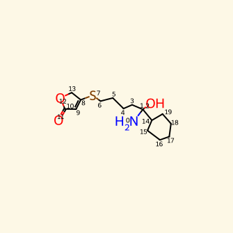 NC(O)(CCCCSC1=CC(=O)OC1)C1CCCCC1